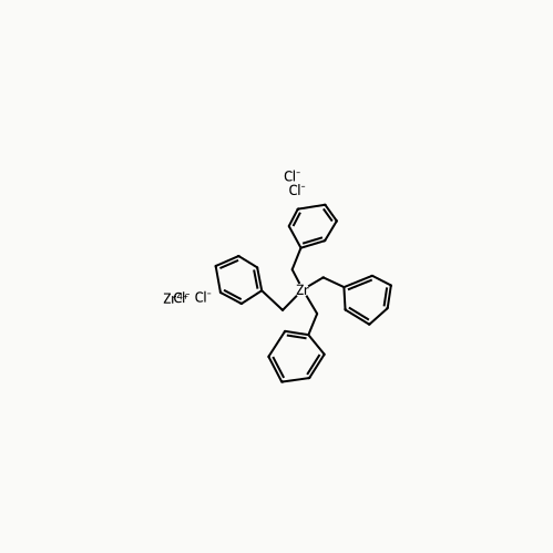 [Cl-].[Cl-].[Cl-].[Cl-].[Zr+4].c1ccc([CH2][Zr]([CH2]c2ccccc2)([CH2]c2ccccc2)[CH2]c2ccccc2)cc1